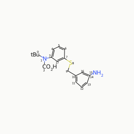 CC(C)(C)N(C(=O)O)c1cccc(SCc2cccc(N)c2)c1